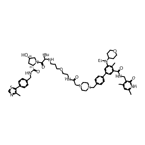 CCN(c1cc(-c2ccc(CN3CCN(CC(=O)NCCOCCCNC(C(=O)N4C[C@H](O)C[C@H]4C(=O)NCc4ccc(-c5scnc5C)cc4)C(C)(C)C)CC3)cc2)cc(C(=O)NCc2c(C)cc(C)[nH]c2=O)c1C)C1CCOCC1